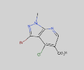 Cn1nc(Br)c2c(Cl)c(C(=O)O)cnc21